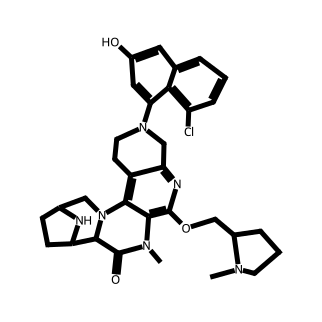 CN1C(=O)C2C3CCC(CN2c2c4c(nc(OCC5CCCN5C)c21)CN(c1cc(O)cc2cccc(Cl)c12)CC4)N3